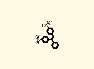 O=[N+]([O-])c1ccc(C=C(c2ccccc2)c2ccc([N+](=O)[O-])cc2)cc1